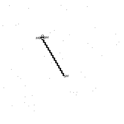 O=P(O)(O)CCCCCCCCCCCCCCCCCCCCCCCCCCCCCS